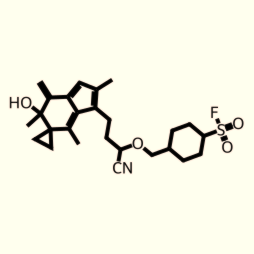 C=C1C2=CC(C)=C(CCC(C#N)OCC3CCC(S(=O)(=O)F)CC3)C2=C(C)C2(CC2)C1(C)O